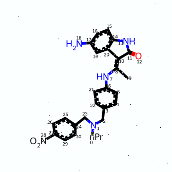 CCCN(Cc1ccc(NC(C)=C2C(=O)Nc3ccc(N)cc32)cc1)Cc1ccc([N+](=O)[O-])cc1